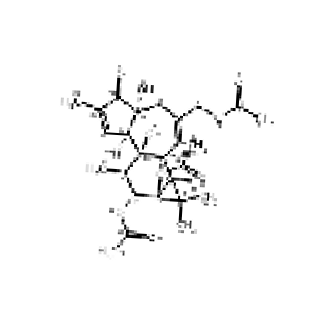 CC(=O)OCC1=C[C@H]2[C@@H]3C(C)(C)[C@]3(OC(C)=O)[C@H](OC(C)=O)[C@@H](C)[C@]2(O)[C@H]2C=C(C)C(=O)[C@@]2(O)C1